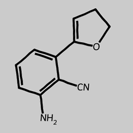 N#Cc1c(N)cccc1C1=CCCO1